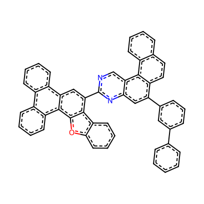 c1ccc(-c2cccc(-c3cc4nc(-c5cc6c7ccccc7c7ccccc7c6c6oc7ccccc7c56)ncc4c4c3ccc3ccccc34)c2)cc1